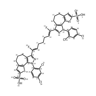 O=S(=O)(O)c1cc2c(s1)-c1c(c(/C(F)=C/CCC/C=C(\F)c3nn(-c4ccc(Cl)cc4Cl)c4c3CCCc3cc(S(=O)(=O)O)sc3-4)nn1-c1ccc(Cl)cc1Cl)CCC2